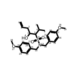 C=CCC(O)C(C(C)C)S(=O)(=O)N(Cc1ccc(OC)cc1)Cc1ccc(OC)cc1